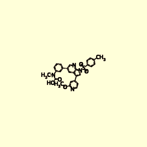 COc1cc(-c2cn(S(=O)(=O)c3ccc(C)cc3)c3ncc(-c4cccc(N(C)C(=O)O)c4)cc23)ccn1